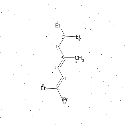 CC/C(=C\C=C(/C)CC(CC)CC)C(C)C